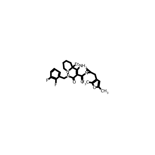 CCC12CCCCN1N(Cc1cccc(F)c1F)C(=O)C(C(=O)N1CC1Cc1cc(C)oc1C(F)(F)F)=C2N